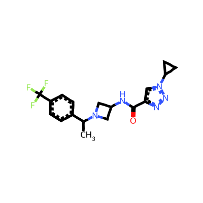 CC(c1ccc(C(F)(F)F)cc1)N1CC(NC(=O)c2cn(C3CC3)nn2)C1